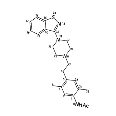 CC(=O)Nc1cc(C)c(CCN2CCN(c3nsc4ccccc34)CC2)cc1C